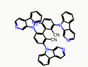 N#Cc1c(-n2c3ccccc3c3ccncc32)ccc(N)c1-c1c(-n2c3ccccc3c3ccncc32)ccc(-n2c3ccccc3c3ccncc32)c1C#N